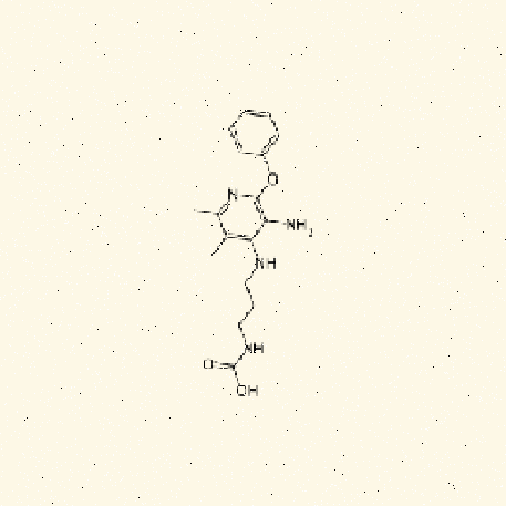 Cc1nc(Oc2ccccc2)c(N)c(NCCCNC(=O)O)c1C